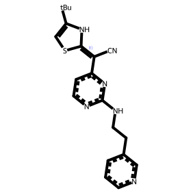 CC(C)(C)C1=CS/C(=C(/C#N)c2ccnc(NCCc3cccnc3)n2)N1